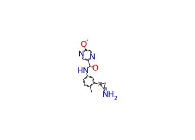 COc1cnc(C(=O)Nc2ccc(C)c([C@H]3C[C@H]3N)c2)cn1